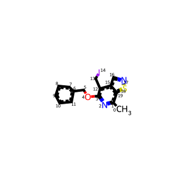 Cc1nc(OCc2ccccc2)c(CI)c2cnsc12